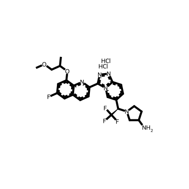 COCC(C)Oc1cc(F)cc2ccc(-c3nnc4ccc([C@@H](N5CCC(N)C5)C(F)(F)F)cn34)nc12.Cl.Cl